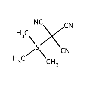 CS(C)(C)C(C#N)(C#N)C#N